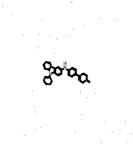 CC1CC=C(c2ccc(Nc3ccc4c(c3)C3C=CC=CC3N4C3=CCCCC3)cc2)CC1